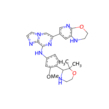 COc1cc(Nc2nc(-c3cnc4c(c3)NCCO4)cn3ccnc23)ccc1C1NCCOC1(C)C